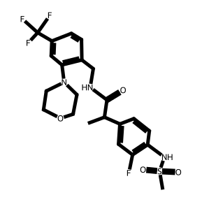 CC(C(=O)NCc1ccc(C(F)(F)F)cc1N1CCOCC1)c1ccc(NS(C)(=O)=O)c(F)c1